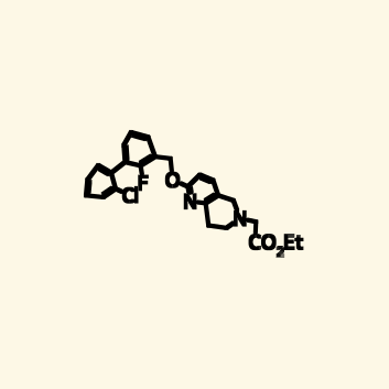 CCOC(=O)CN1CCc2nc(OCc3cccc(-c4ccccc4Cl)c3F)ccc2C1